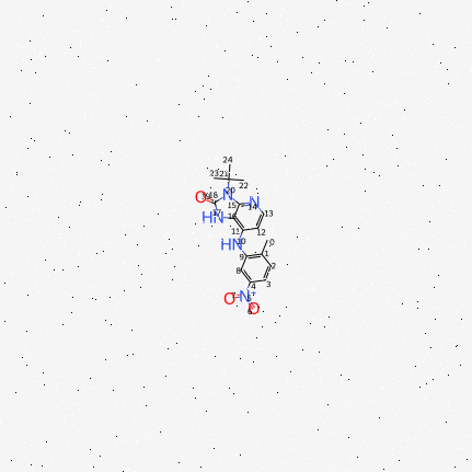 Cc1ccc([N+](=O)[O-])cc1Nc1ccnc2c1[nH]c(=O)n2C(C)(C)C